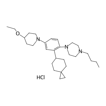 CCCCN1CCN(c2ccc(N3CCC(OCC)CC3)cc2C2CCC3(CC2)CC3)CC1.Cl